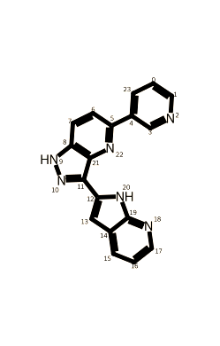 c1cncc(-c2ccc3[nH]nc(-c4cc5cccnc5[nH]4)c3n2)c1